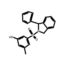 Cc1cc(O)cc(S(=O)(=O)N2Cc3ccccc3C2c2ccccc2)c1